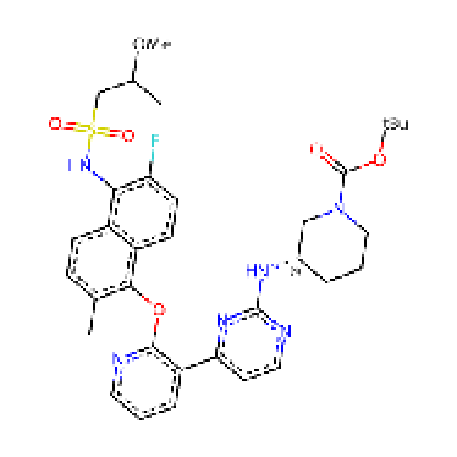 COC(C)CS(=O)(=O)Nc1c(F)ccc2c(Oc3ncccc3-c3ccnc(N[C@H]4CCCN(C(=O)OC(C)(C)C)C4)n3)c(C)ccc12